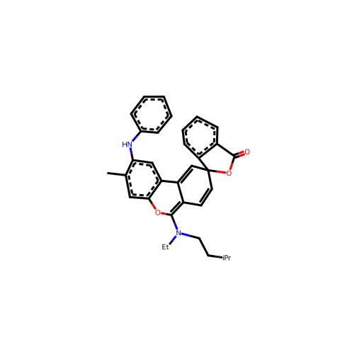 CCN(CCC(C)C)C1=C2C=CC3(C=C2c2cc(Nc4ccccc4)c(C)cc2O1)OC(=O)c1ccccc13